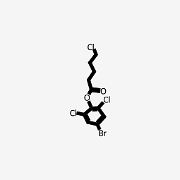 O=C(CCCCCl)Oc1c(Cl)cc(Br)cc1Cl